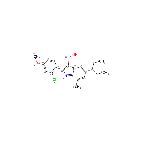 CCC(CC)c1cc(C)c2nc(-c3ccc(OC)cc3Cl)c(CO)n2c1